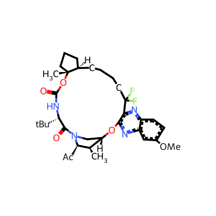 COc1ccc2nc3c(nc2c1)O[C@H]1CN(C(=O)[C@H](C(C)(C)C)NC(=O)O[C@]2(C)CCC[C@H]2CCCCC3(F)F)[C@H](C(C)=O)[C@@H]1C